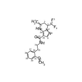 C=C1CC(C(F)F)n2ncc(C(=O)NCCc3ccccc3OC)c2N1